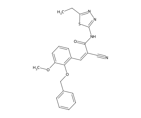 CCc1nnc(NC(=O)C(C#N)=Cc2cccc(OC)c2OCc2ccccc2)s1